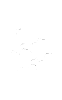 CCCn1cc[n+](CCC)c1C.CCCn1cc[n+](CCC)c1C.O=S(=O)([O-])[O-]